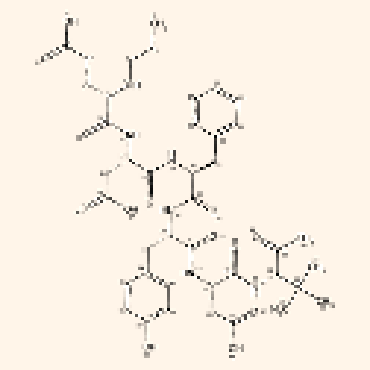 CCCN[C@@H](CCC(=O)O)C(=O)N[C@@H](CC(=O)O)C(=O)N[C@@H](Cc1ccccc1)C(=O)N[C@@H](Cc1ccc(O)cc1)C(=O)N[C@@H](CC(=O)O)C(=O)N[C@H](C(C)=O)C(C)(C)C